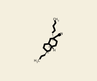 CCCCC[C@]1(C#N)CC[C@@H]2C[C@@H](CCC)CCC2C1